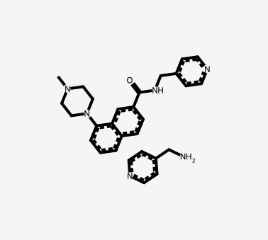 CN1CCN(c2cccc3ccc(C(=O)NCc4ccncc4)cc23)CC1.NCc1ccncc1